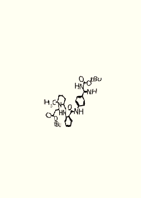 CC1CCCC(CNc2ccccc2C(=O)Nc2ccc(C(=N)NC(=O)OC(C)(C)C)cc2)N1CCC(=O)OC(C)(C)C